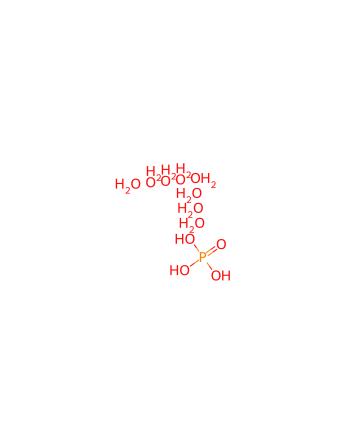 O.O.O.O.O.O.O.O.O=P(O)(O)O